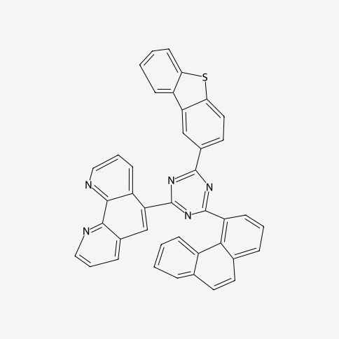 c1ccc2c(c1)ccc1cccc(-c3nc(-c4ccc5sc6ccccc6c5c4)nc(-c4cc5cccnc5c5ncccc45)n3)c12